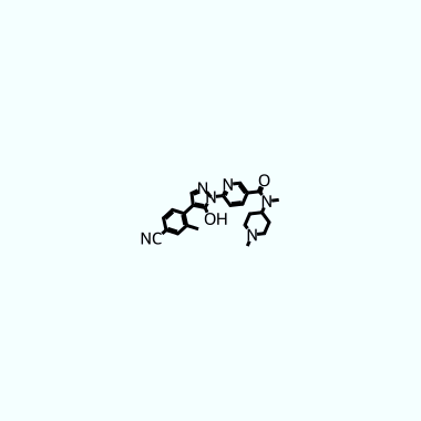 Cc1cc(C#N)ccc1-c1cnn(-c2ccc(C(=O)N(C)C3CCN(C)CC3)cn2)c1O